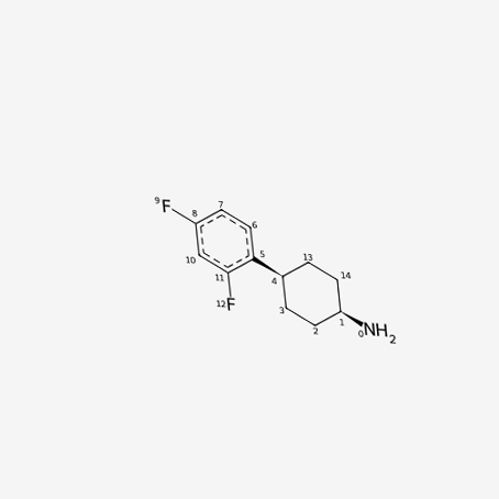 N[C@H]1CC[C@@H](c2ccc(F)cc2F)CC1